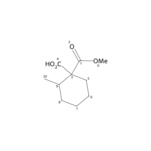 COC(=O)C1(C(=O)O)CCCCC1C